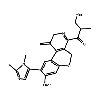 C=C1CN=C(C(=O)C(C)CC(C)(C)C)C2=C1c1cc(-c3cnc(C)n3C)c(OC)cc1OC2